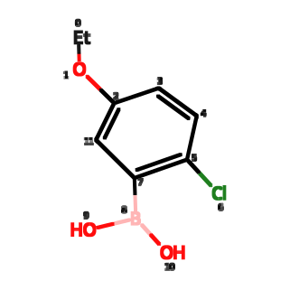 CCOc1ccc(Cl)c(B(O)O)c1